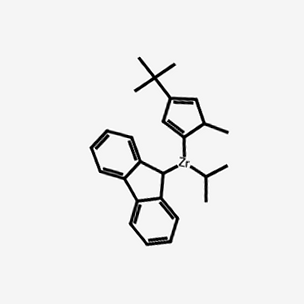 CC1C=C(C(C)(C)C)C=[C]1[Zr]([CH](C)C)[CH]1c2ccccc2-c2ccccc21